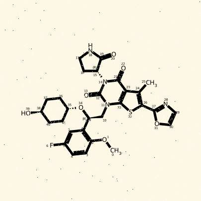 COc1ccc(F)cc1[C@H](Cn1c(=O)n([C@@H]2CCNC2=O)c(=O)c2c(C)c(-c3ncco3)sc21)O[C@H]1CC[C@H](O)CC1